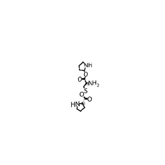 N[C@@H](CSOC(=O)[C@@H]1CCCN1)C(=O)OC1CCCN1